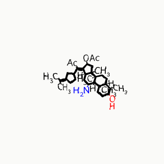 CC(=O)O[C@H]1C[C@@]2(C)[C@@H](C[C@@H](N)[C@H]3[C@@]4(C)CC[C@@H](O)[C@@H](C)[C@@H]4CC[C@@]32C)/C1=C(/C(C)=O)C1CCC(=C(C)C)C1